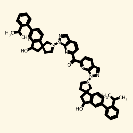 CC(C)c1ccccc1-c1ccc2c(c1)C(O)CC21CCN(n2ncc3ccc(C(=O)c4ccc5cnn(N6CCC7(CC(O)c8cc(-c9ccccc9C(C)C)ccc87)C6)c5n4)nc32)C1